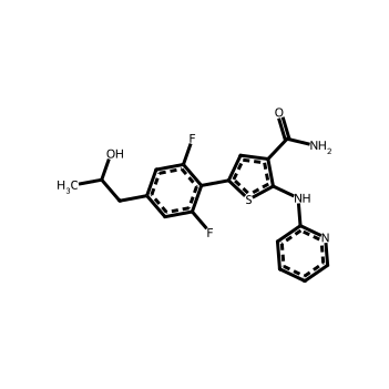 CC(O)Cc1cc(F)c(-c2cc(C(N)=O)c(Nc3ccccn3)s2)c(F)c1